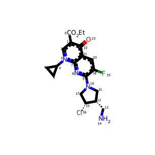 CCOC(=O)c1cn(C2CC2)c2nc(N3C[C@H](CN)[C@H](Cl)C3)c(F)cc2c1=O